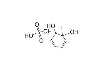 CC1(O)C=CC=CC1O.O=S(=O)(O)O